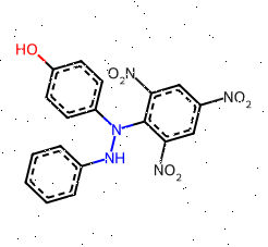 O=[N+]([O-])c1cc([N+](=O)[O-])c(N(Nc2ccccc2)c2ccc(O)cc2)c([N+](=O)[O-])c1